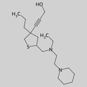 CCCC1(C#CCO)CSC(CN(CC)CCN2CCCCC2)C1